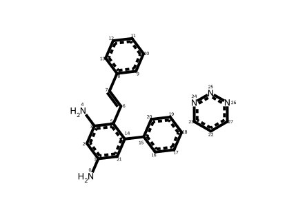 Nc1cc(N)c(C=Cc2ccccc2)c(-c2ccccc2)c1.c1cnnnc1